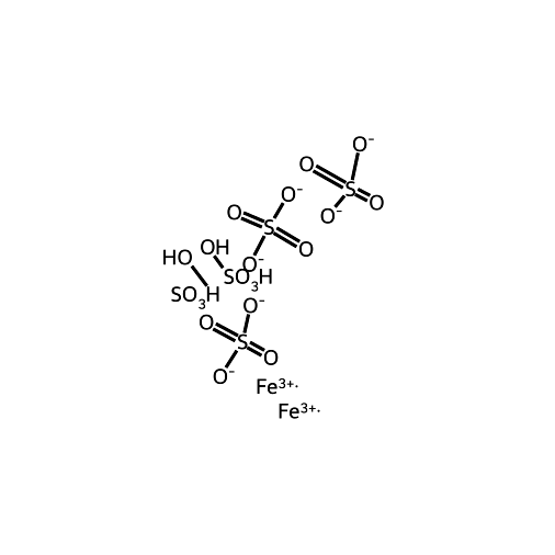 O=S(=O)(O)O.O=S(=O)(O)O.O=S(=O)([O-])[O-].O=S(=O)([O-])[O-].O=S(=O)([O-])[O-].[Fe+3].[Fe+3]